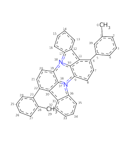 Cc1cccc(-c2ccc3c4c2c2ccccc2n4c2ccc(-c4ccccc4C)c4c5ccccc5n3c42)c1